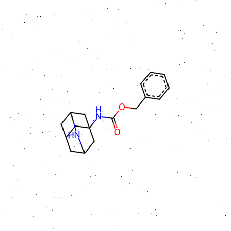 O=C(NC12CC3CC(C1)NC(C3)C2)OCc1ccccc1